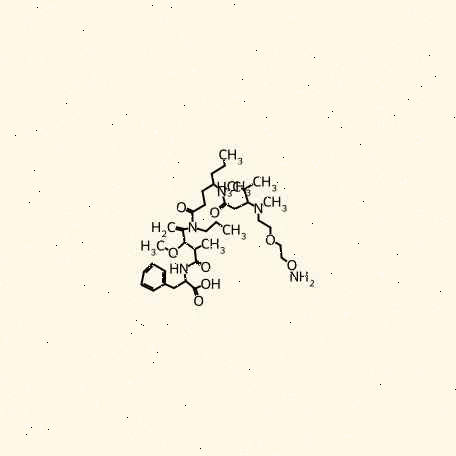 C=C(C(OC)C(C)C(=O)NC(Cc1ccccc1)C(=O)O)N(CCC)C(=O)CCC(CCC)N(C)C(=O)CC(C(C)C)N(C)CCOCCON